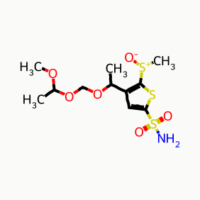 COC(C)OCOC(C)c1cc(S(N)(=O)=O)sc1[S+](C)[O-]